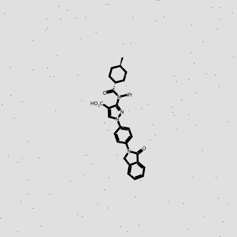 CC(C)N(c1nn(-c2ccc(N3Cc4ccccc4C3=O)cc2)cc1C(=O)O)C(=O)[C@H]1CC[C@H](C)CC1